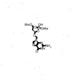 COCC[C@H](OCn1cnc2c(=O)[nH]c(N)nc21)OP(=O)(O)OC